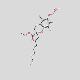 CCCCCCCCC1(C(=O)OCC)CCc2c(C)c(OCOC)c(C)c(C)c2O1